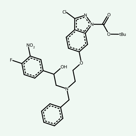 CC(C)(C)OC(=O)n1nc(Cl)c2ccc(OCCN(Cc3ccccc3)CC(O)c3ccc(F)c([N+](=O)[O-])c3)cc21